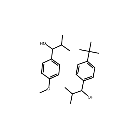 CC(C)C(O)c1ccc(C(C)(C)C)cc1.COc1ccc(C(O)C(C)C)cc1